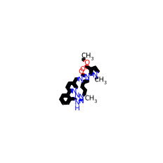 CCCCc1cn(-c2c(C(=O)OCC)ccn2C)c(=O)n1Cc1ccc(-c2ccccc2-c2nnn[nH]2)nc1